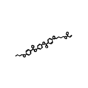 C=CC(=O)OCCCCOc1ccc(C(=O)Oc2ccc(OC(=O)c3ccc(OCCCC)cc3)cc2)cc1